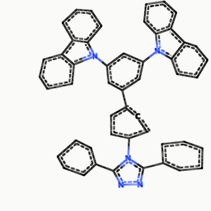 c1ccc(-c2nnc(-c3ccccc3)n2-c2ccc(-c3cc(-n4c5ccccc5c5ccccc54)cc(-n4c5ccccc5c5ccccc54)c3)cc2)cc1